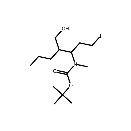 CCCC(CO)C(CCI)N(C)C(=O)OC(C)(C)C